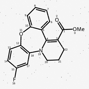 COC(=O)C1=C2c3ccccc3Oc3ccc(F)cc3N2CCC1